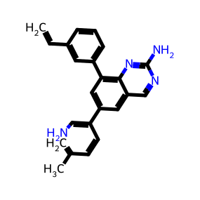 C=Cc1cccc(-c2cc(C(/C=C\C(=C)C)=C/N)cc3cnc(N)nc23)c1